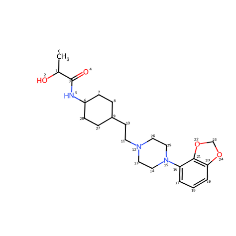 CC(O)C(=O)NC1CCC(CCN2CCN(c3cccc4c3OCO4)CC2)CC1